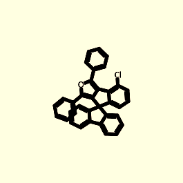 Clc1cccc2c1-c1c(-c3ccccc3)oc(-c3ccccc3)c1C21c2ccccc2-c2ccccc21